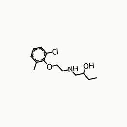 CCC(O)CNCCOc1c(C)cccc1Cl